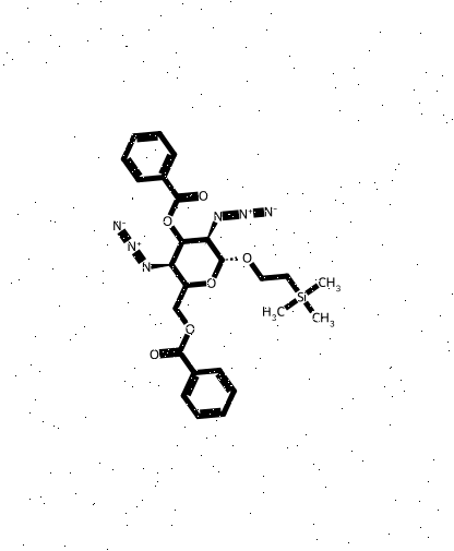 C[Si](C)(C)CCO[C@@H]1OC(COC(=O)c2ccccc2)[C@@H](N=[N+]=[N-])C(OC(=O)c2ccccc2)[C@H]1N=[N+]=[N-]